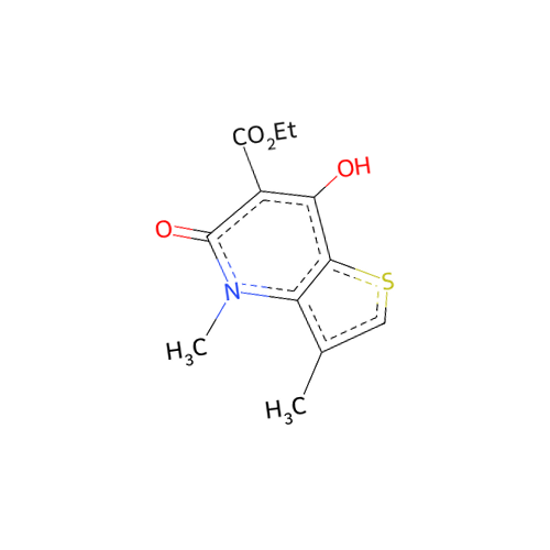 CCOC(=O)c1c(O)c2scc(C)c2n(C)c1=O